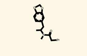 CC(C)CC(=O)N(C)C(C)Cc1ccc2c(c1)OCO2